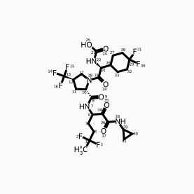 CC(F)(F)CCC(NC(=O)[C@@H]1C[C@@H](C(F)(F)F)CN1C(=O)[C@@H](NC(=O)O)C1CCC(F)(F)CC1)C(=O)C(=O)NC1CC1